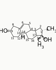 C[C@H]1CC2C3CC=C4C[C@@H](O)CC[C@@H]4C3CC[C@]2(C)[C@@H]1O